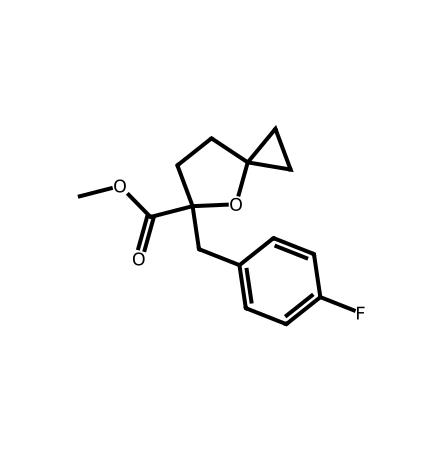 COC(=O)C1(Cc2ccc(F)cc2)CCC2(CC2)O1